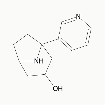 OC1CC2CCC(c3cccnc3)(C1)N2